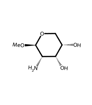 CO[C@H]1OC[C@H](O)[C@H](O)[C@@H]1N